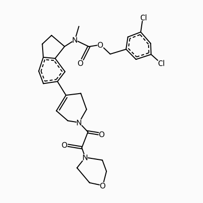 CN(C(=O)OCc1cc(Cl)cc(Cl)c1)C1CCc2ccc(C3=CCN(C(=O)C(=O)N4CCOCC4)CC3)cc21